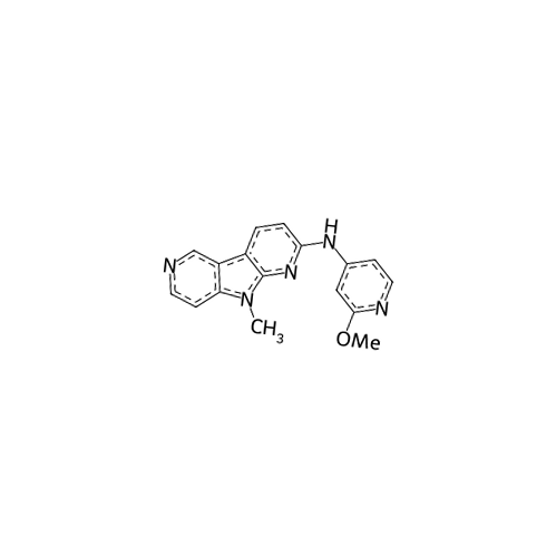 COc1cc(Nc2ccc3c4cnccc4n(C)c3n2)ccn1